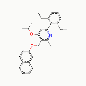 CCc1cccc(CC)c1-c1cc(OC(C)C)c(COc2ccc3ccccc3c2)c(C)n1